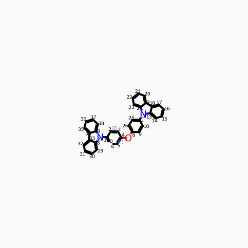 C=C(/C=C\C(=C/C)Oc1ccc(-n2c3ccccc3c3ccccc32)cc1)n1c2ccccc2c2ccccc21